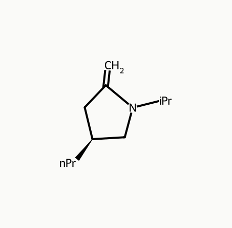 C=C1C[C@H](CCC)CN1C(C)C